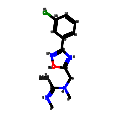 C/N=C(/SC)N(C)Cc1nc(-c2cccc(Cl)c2)no1